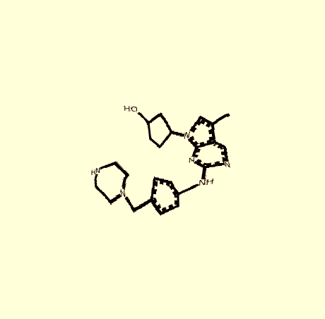 Cc1cn(C2CCC(O)C2)c2nc(Nc3ccc(CN4CCNCC4)cc3)ncc12